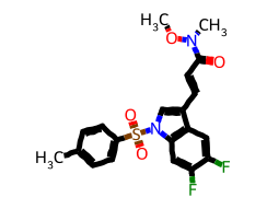 CON(C)C(=O)C=Cc1cn(S(=O)(=O)c2ccc(C)cc2)c2cc(F)c(F)cc12